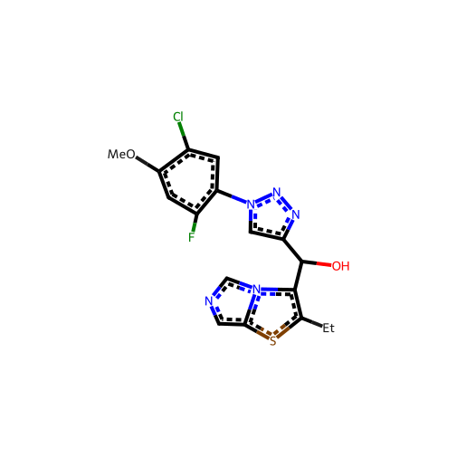 CCc1sc2cncn2c1C(O)c1cn(-c2cc(Cl)c(OC)cc2F)nn1